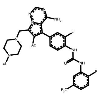 CCN1CCN(Cc2c(C(C)=O)c(-c3ccc(NC(=O)Nc4cc(C(F)(F)F)ccc4F)c(F)c3)c3c(N)ncnn23)CC1